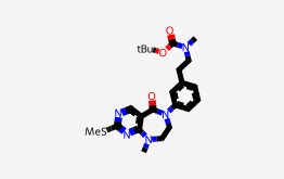 CSc1ncc2c(n1)N(C)CCN(c1cccc(CCN(C)C(=O)OC(C)(C)C)c1)C2=O